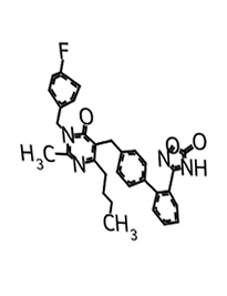 CCCCc1nc(C)n(Cc2ccc(F)cc2)c(=O)c1Cc1ccc(-c2ccccc2-c2noc(=O)[nH]2)cc1